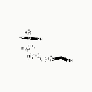 C.C.C.C.C.C.N=C=O.N=C=O.O